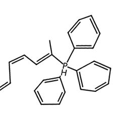 C=C/C=C\C=C(/C)[PH](c1ccccc1)(c1ccccc1)c1ccccc1